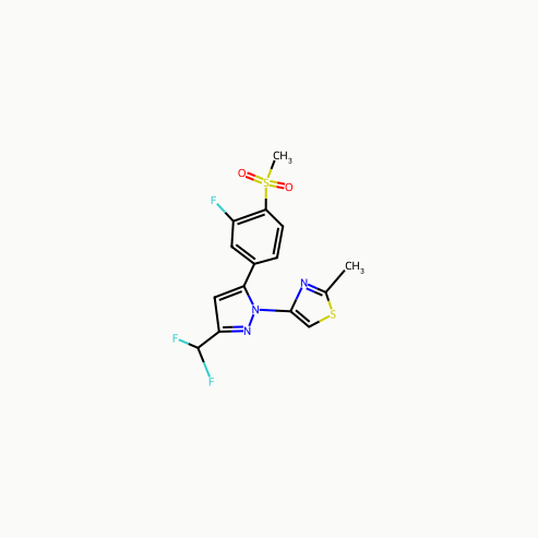 Cc1nc(-n2nc(C(F)F)cc2-c2ccc(S(C)(=O)=O)c(F)c2)cs1